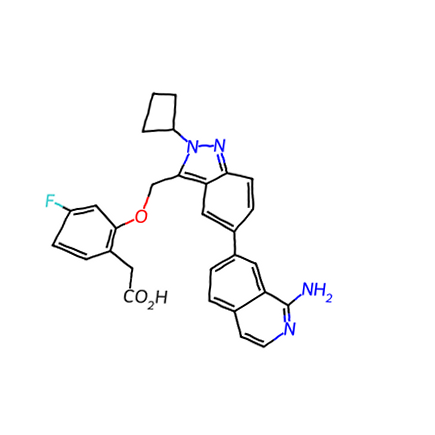 Nc1nccc2ccc(-c3ccc4nn(C5CCC5)c(COc5cc(F)ccc5CC(=O)O)c4c3)cc12